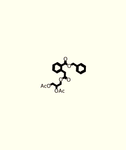 CC(=O)OCC(COC(=O)Cc1ccccc1C(=O)OCc1ccccc1)OC(C)=O